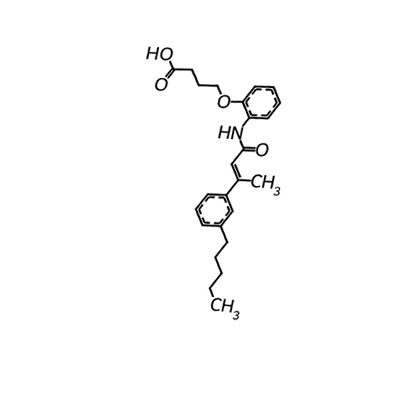 CCCCCc1cccc(/C(C)=C/C(=O)Nc2ccccc2OCCCC(=O)O)c1